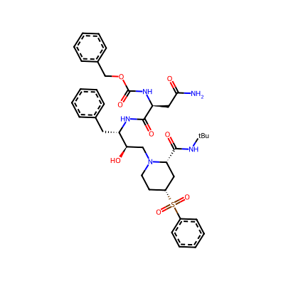 CC(C)(C)NC(=O)[C@@H]1C[C@H](S(=O)(=O)c2ccccc2)CCN1C[C@@H](O)[C@H](Cc1ccccc1)NC(=O)[C@H](CC(N)=O)NC(=O)OCc1ccccc1